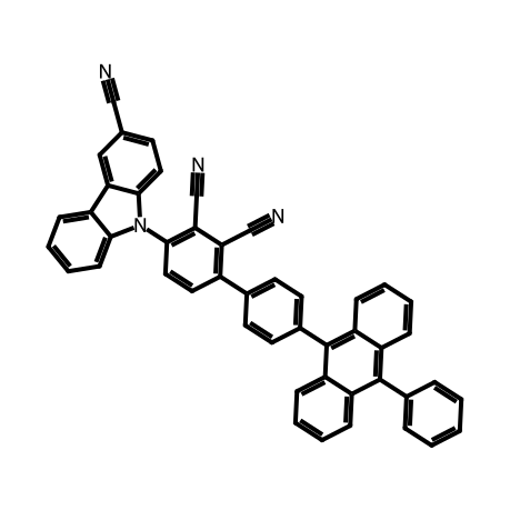 N#Cc1ccc2c(c1)c1ccccc1n2-c1ccc(-c2ccc(-c3c4ccccc4c(-c4ccccc4)c4ccccc34)cc2)c(C#N)c1C#N